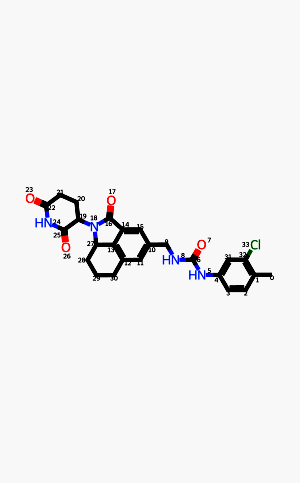 Cc1ccc(NC(=O)NCc2cc3c4c(c2)C(=O)N(C2CCC(=O)NC2=O)C4CCC3)cc1Cl